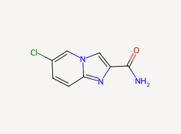 NC(=O)c1cn2cc(Cl)ccc2n1